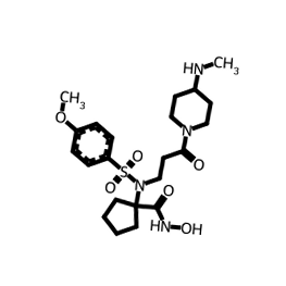 CNC1CCN(C(=O)CCN(C2(C(=O)NO)CCCC2)S(=O)(=O)c2ccc(OC)cc2)CC1